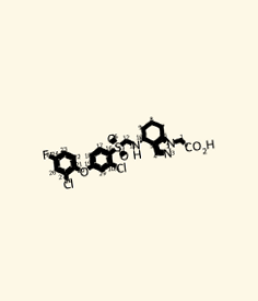 O=C(O)Cn1ncc2c1CCC[C@H]2NCS(=O)(=O)c1ccc(Oc2ccc(F)cc2Cl)cc1Cl